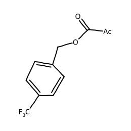 CC(=O)C(=O)OCc1ccc(C(F)(F)F)cc1